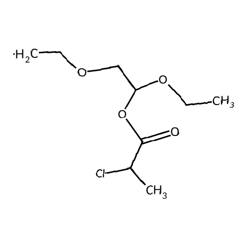 [CH2]COCC(OCC)OC(=O)C(C)Cl